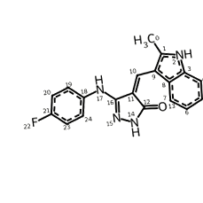 Cc1[nH]c2ccccc2c1C=C1C(=O)NN=C1Nc1ccc(F)cc1